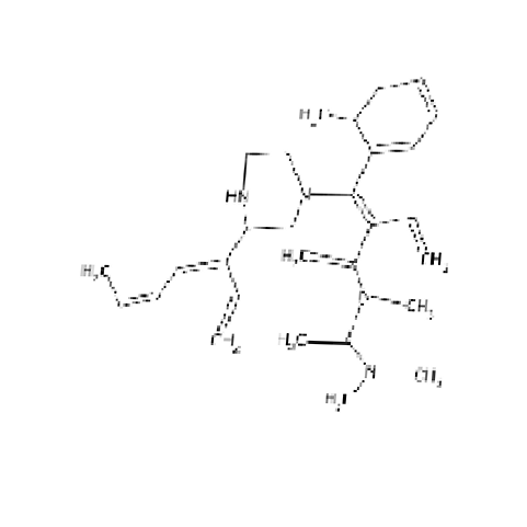 C=C/C(C(=C)N(C)C(=C)N(C)C)=C(\C1=CC=CCC1C)N1CCNC(/C(C=C)=C/C=C\C)C1